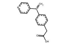 C=[N+](c1ccncc1)c1ccc(CC(=O)O)cc1